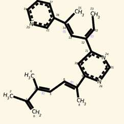 C=C(C)/C(C)=C/C=C(\C)c1cc(C(/C=C(\C)c2cccnc2)=C/C)ncn1